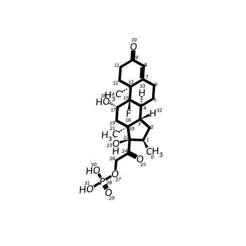 C[C@@H]1C[C@H]2[C@@H]3CCC4=CC(=O)CC[C@]4(C)[C@@]3(F)[C@@H](O)C[C@]2(C)[C@@]1(O)C(=O)COP(=O)(O)O